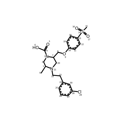 CC1CN(C(=O)O)C(COc2ccc(S(C)(=O)=O)cc2)CN1CCc1cccc(Cl)c1